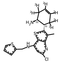 [2H]C1=C([2H])C([2H])([2H])[C@H](c2sc3c(NCc4cccs4)cc(Cl)nc3c2C)[C@@H](N)C1([2H])[2H]